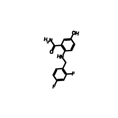 NC(=O)c1cc(O)ccc1NCc1ccc(F)cc1F